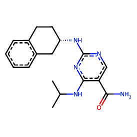 CC(C)Nc1nc(N[C@H]2CCc3ccccc3C2)ncc1C(N)=O